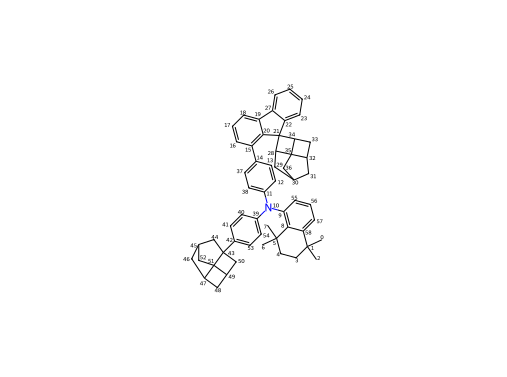 CC1(C)CCC(C)(C)c2c(N(c3ccc(-c4cccc5c4C4(c6ccccc6-5)C5CC6CC7CC4C75C6)cc3)c3ccc(C45CC6CC7CC(C4)C75C6)cc3)cccc21